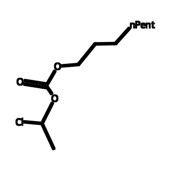 CCCCCCCCOC(=O)OC(C)Cl